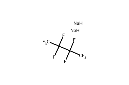 FC(F)(F)C(F)(F)C(F)(F)C(F)(F)F.[NaH].[NaH]